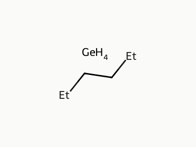 CCCCCC.[GeH4]